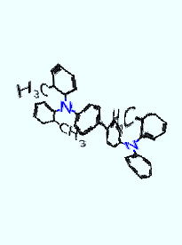 CC1CC=CC=C1N(c1ccccc1)c1ccc(-c2ccc(N(C3=CC=CCC3C)C3C=CC=CC3C)cc2)cc1